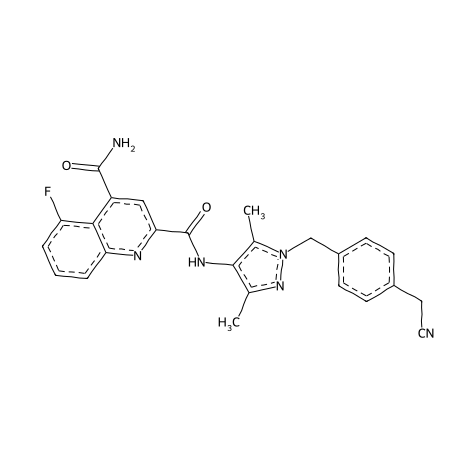 Cc1nn(Cc2ccc(CC#N)cc2)c(C)c1NC(=O)c1cc(C(N)=O)c2c(F)cccc2n1